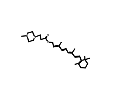 CC1=C(/C=C/C(C)=C/C=C/C(C)=C/COC(=O)CCN2CCN(C)CC2)C(C)(C)CCC1